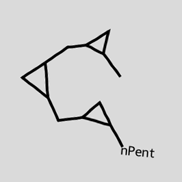 CCCCCC1CC1CC1CC1CC1CC1C